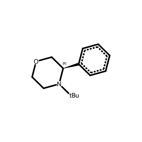 CC(C)(C)N1CCOC[C@H]1c1ccccc1